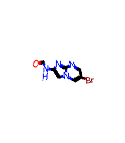 O=CNc1cn2cc(Br)cnc2n1